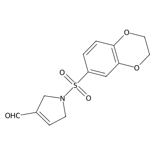 O=CC1=CCN(S(=O)(=O)c2ccc3c(c2)OCCO3)C1